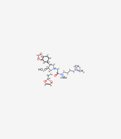 CCCCN(CCCCN(C)C)C(=O)CN1C[C@H](c2ccc3c(c2)OCO3)[C@H](C(=O)O)[C@H]1CCC1OC=CO1